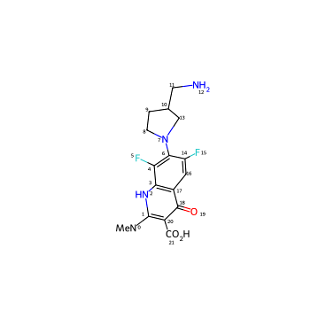 CNc1[nH]c2c(F)c(N3CCC(CN)C3)c(F)cc2c(=O)c1C(=O)O